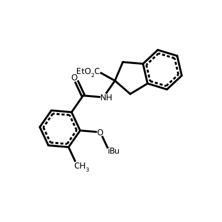 CCOC(=O)C1(NC(=O)c2cccc(C)c2OC(C)CC)Cc2ccccc2C1